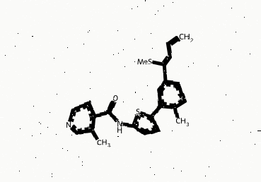 C=C/C=C(\SC)c1ccc(C)c(-c2ccc(NC(=O)c3ccncc3C)s2)c1